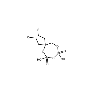 O=P1(O)OCC(CCCl)(CCCl)OP(=O)(O)O1